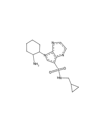 NC1CCCCC1n1cc(S(=O)(=O)NCC2CC2)c2nccnc21